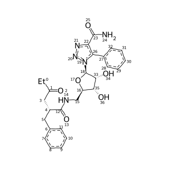 CCC(=O)C[C@@H](Cc1ccccc1)C(=O)NC[C@H]1O[C@@H](n2nnc(C(N)=O)c2-c2ccccc2)[C@H](O)[C@@H]1O